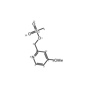 COc1ccnc(COS(C)(=O)=O)c1